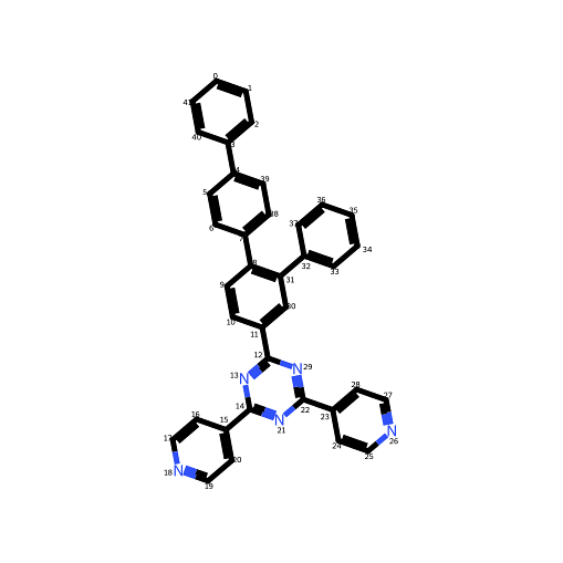 c1ccc(-c2ccc(-c3ccc(-c4nc(-c5ccncc5)nc(-c5ccncc5)n4)cc3-c3ccccc3)cc2)cc1